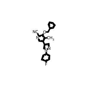 Cc1c(-c2cnn(-c3ccc(F)cc3)c2)cnc(C#N)c1OCc1ccccc1